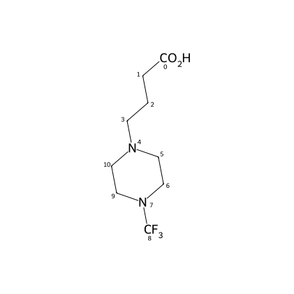 O=C(O)CCCN1CCN(C(F)(F)F)CC1